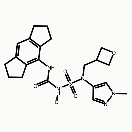 Cn1cc(N(CC2COC2)S(=O)(=O)[NH+]([O-])C(=O)Nc2c3c(cc4c2CCC4)CCC3)cn1